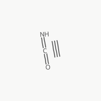 C#C.N=C=O